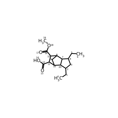 CCC1CC(CC)C2C3CC(C(C(=O)O)C3C(=O)OC)C12